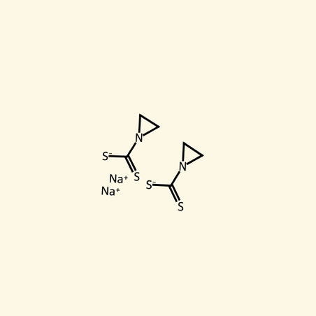 S=C([S-])N1CC1.S=C([S-])N1CC1.[Na+].[Na+]